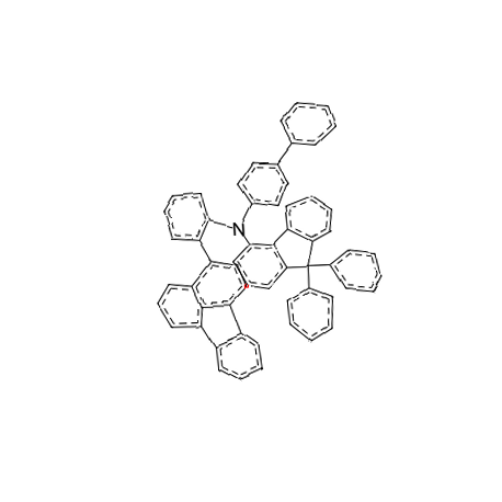 c1ccc(-c2ccc(N(c3ccccc3-c3ccc4c5c(cccc35)-c3ccccc3-4)c3cccc4c3-c3ccccc3C4(c3ccccc3)c3ccccc3)cc2)cc1